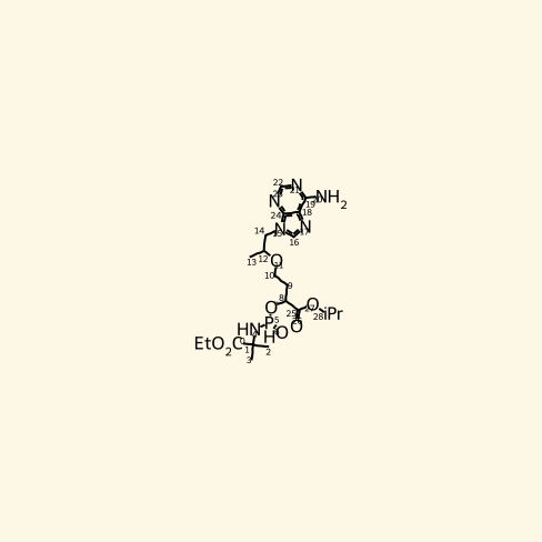 CCOC(=O)C(C)(C)N[PH](=O)OC(CCOC(C)Cn1cnc2c(N)ncnc21)C(=O)OC(C)C